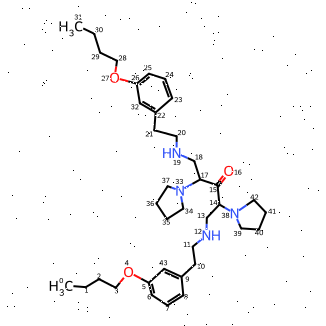 CCCCOc1cccc(CCNCC(C(=O)C(CNCCc2cccc(OCCCC)c2)N2CCCC2)N2CCCC2)c1